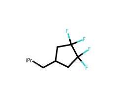 CC(C)CC1CC(F)(F)C(F)(F)C1